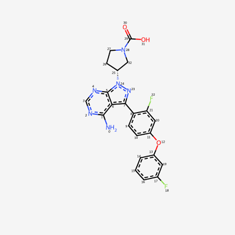 Nc1ncnc2c1c(-c1ccc(Oc3cccc(F)c3)cc1F)nn2[C@@H]1CCN(C(=O)O)C1